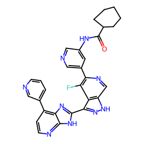 O=C(Nc1cncc(-c2ncc3[nH]nc(-c4nc5c(-c6cccnc6)ccnc5[nH]4)c3c2F)c1)C1CCCCC1